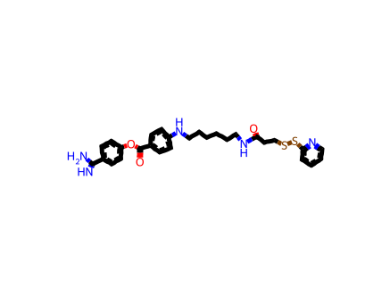 N=C(N)c1ccc(OC(=O)c2ccc(NCCCCCCNC(=O)CCSSc3ccccn3)cc2)cc1